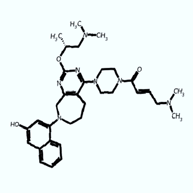 C[C@H](CN(C)C)Oc1nc2c(c(N3CCN(C(=O)/C=C/CN(C)C)CC3)n1)CCCN(c1cc(O)cc3ccccc13)C2